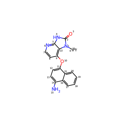 CC(C)n1c(=O)[nH]c2nccc(Oc3ccc(N)c4ccccc34)c21